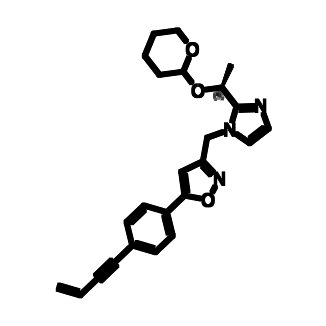 C=CC#Cc1ccc(-c2cc(Cn3ccnc3[C@H](C)OC3CCCCO3)no2)cc1